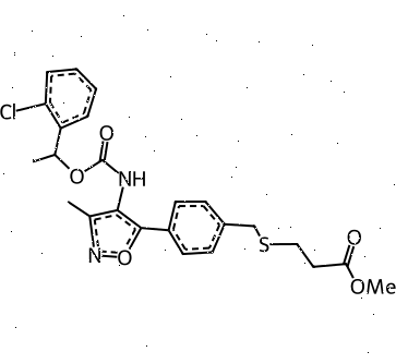 COC(=O)CCSCc1ccc(-c2onc(C)c2NC(=O)OC(C)c2ccccc2Cl)cc1